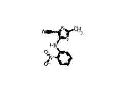 Cc1nc(C#N)c(Nc2ccccc2[N+](=O)[O-])s1